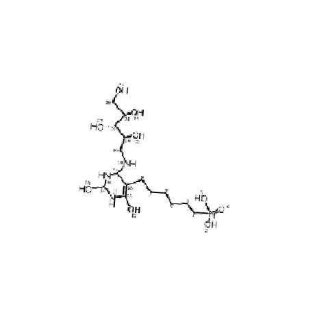 O=P(O)(O)CCCCCCC1=C(O)NC(O)NC1NC[C@H](O)[C@H](O)[C@H](O)CO